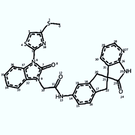 CSc1csc(-n2c(=O)n(CC(=O)Nc3ccc4c(c3)CC3(C4)C(=O)Nc4ncccc43)c3ccccc32)n1